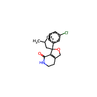 CC(C)CC1(c2cccc(Cl)c2)OCC2=C1C(=O)NCC2